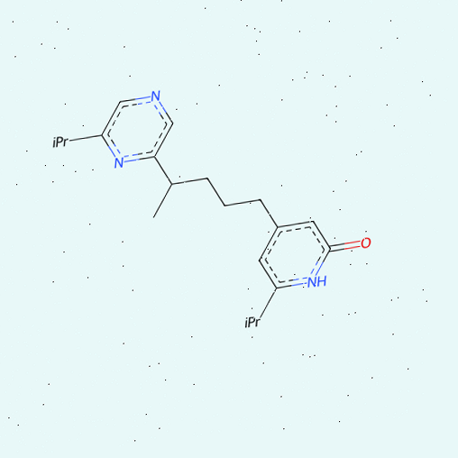 CC(C)c1cncc(C(C)CCCc2cc(C(C)C)[nH]c(=O)c2)n1